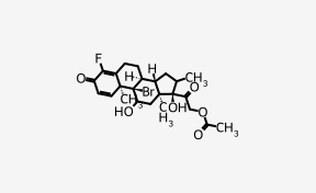 CC(=O)OCC(=O)[C@@]1(O)C(C)C[C@H]2[C@@H]3CCC4=C(F)C(=O)C=C[C@]4(C)[C@@]3(Br)C(O)C[C@@]21C